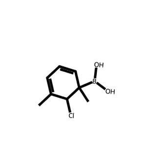 CC1=CC=CC(C)(B(O)O)C1Cl